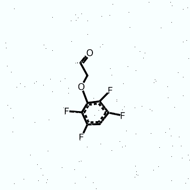 O=[C]COc1c(F)c(F)cc(F)c1F